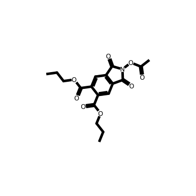 CCCOC(=O)c1cc2c(cc1C(=O)OCCC)C(=O)N(OC(C)=O)C2=O